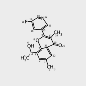 Cc1cc([C@H](C)O)c2oc(-c3cncc(F)c3)c(C)c(=O)c2c1